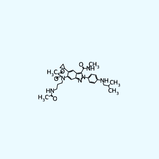 CNC(=O)c1c2cc(C3CC3)c(N(CCCNC(C)=O)S(C)(=O)=O)cc2nn1-c1ccc(NCC(C)C)cc1